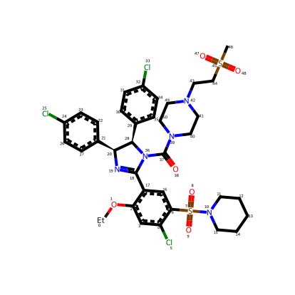 CCOc1cc(Cl)c(S(=O)(=O)N2CCCCC2)cc1C1=N[C@@H](c2ccc(Cl)cc2)[C@@H](c2ccc(Cl)cc2)N1C(=O)N1CCN(CCS(C)(=O)=O)CC1